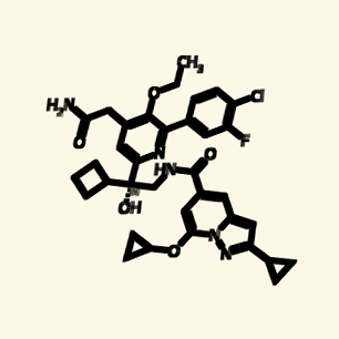 CCOc1c(CC(N)=O)cc([C@@](O)(CNC(=O)c2cc(OC3CC3)n3nc(C4CC4)cc3c2)C2CCC2)nc1-c1ccc(Cl)c(F)c1